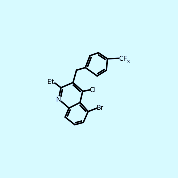 CCc1nc2cccc(Br)c2c(Cl)c1Cc1ccc(C(F)(F)F)cc1